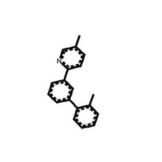 Cc1ccc(-c2cccc(-c3ccccc3C)c2)nc1